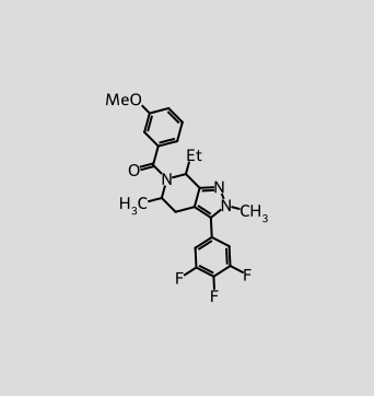 CCC1c2nn(C)c(-c3cc(F)c(F)c(F)c3)c2CC(C)N1C(=O)c1cccc(OC)c1